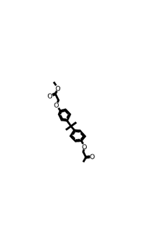 COC(=O)COc1ccc(C(C)(C)c2ccc(OCC(C)=O)cc2)cc1